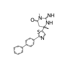 CN1C(=N)N[C@](C)(c2cnc(-c3ccc(-c4ccccc4)cc3)s2)CC1=O